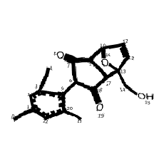 Cc1cc(C)c(C2C(=O)C3C4C=CC(CO)(O4)C3C2=O)c(C)c1